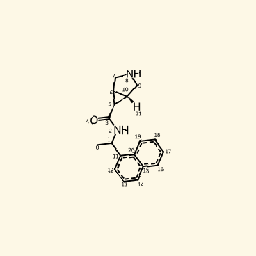 CC(NC(=O)[C@H]1C2CNC[C@@H]21)c1cccc2ccccc12